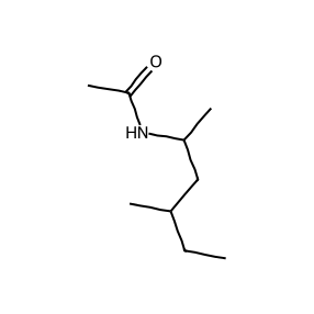 CCC(C)CC(C)NC(C)=O